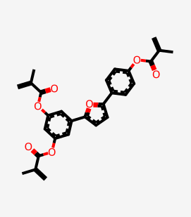 C=C(C)C(=O)Oc1ccc(-c2ccc(-c3cc(OC(=O)C(=C)C)cc(OC(=O)C(=C)C)c3)o2)cc1